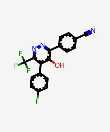 N#Cc1ccc(-c2nnc(C(F)(F)F)c(-c3ccc(F)cc3)c2O)cc1